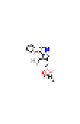 COC(=O)C=Cc1cn2ncnc(Oc3ccccc3)c2c1C